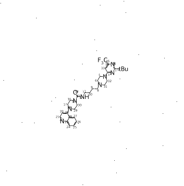 CC(C)(C)c1nc(N2CCN(CCCCNC(=O)N3CCN(c4ccnc5ccccc45)CC3)CC2)cc(C(F)(F)F)n1